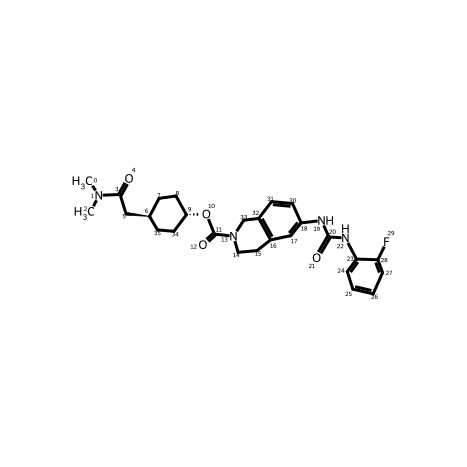 CN(C)C(=O)C[C@H]1CC[C@H](OC(=O)N2CCc3cc(NC(=O)Nc4ccccc4F)ccc3C2)CC1